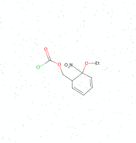 CCOC1([N+](=O)[O-])C=CC=CC1COC(=O)Cl